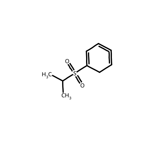 CC(C)S(=O)(=O)C1=CC=C=CC1